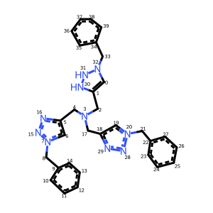 C1=C(CN(Cc2cn(Cc3ccccc3)nn2)Cc2cn(Cc3ccccc3)nn2)NNN1Cc1ccccc1